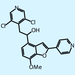 COc1ccc(C(O)Cc2c(Cl)cncc2Cl)c2cc(-c3ccncc3)oc12